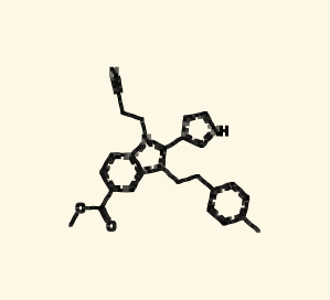 COC(=O)c1ccc2c(c1)c(CCc1ccc(C)cc1)c(-c1cc[nH]c1)n2CCC#N